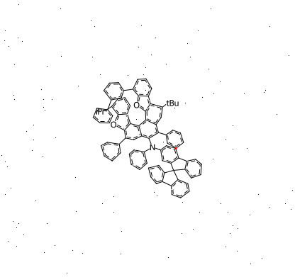 CC(C)c1cccc2c1oc1c(-c3ccccc3)cc3c(N(c4ccccc4)c4ccc5c(c4)C4(c6ccccc6-c6ccccc64)c4ccccc4-5)c(-c4ccccc4)c4cc(C(C)(C)C)c5c6cccc(-c7cccc(-c8ccccc8)c7)c6oc5c4c3c12